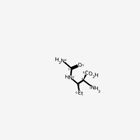 CCC(NC(N)=O)[C@H](N)C(=O)O